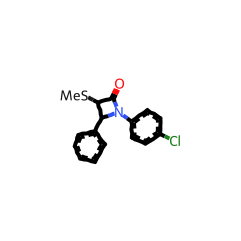 CSC1C(=O)N(c2ccc(Cl)cc2)C1c1ccccc1